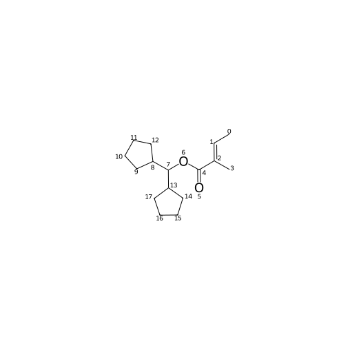 CC=C(C)C(=O)OC(C1CCCC1)C1CCCC1